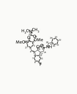 COc1cc(C=C2c3ccc(F)cc3C(CC(=O)NCc3ccccc3)C2C)cc(OC)c1OC(=O)N(C)C